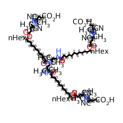 CCCCCCC(CCCCCCCCCCC(=O)NCCC(C)(C)N(CCC(C)(C)NC(=O)CCCCCCCCCCC(CCCCCC)OC(=O)CCC(C)(C#N)/N=N/C(C)(C#N)CCC(=O)O)C(=O)CCCCCCCCCCC(CCCCCC)OC(=O)CCC(C)(C#N)/N=N/C(C)(C#N)CCC(=O)O)OC(=O)CCC(C)(C#N)/N=N/C(C)(C#N)CCC(=O)O